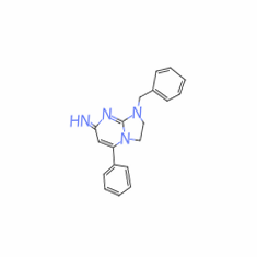 N=c1cc(-c2ccccc2)n2c(n1)N(Cc1ccccc1)CC2